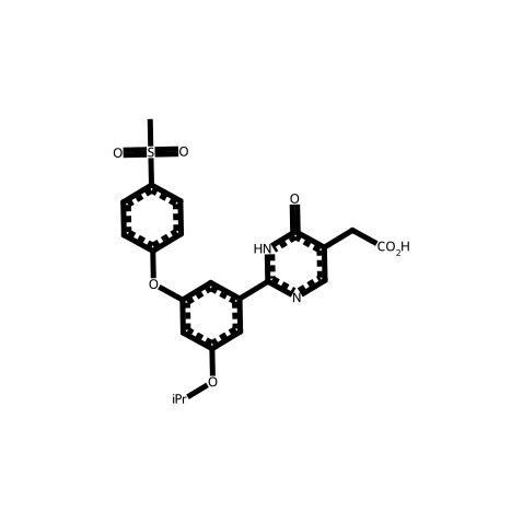 CC(C)Oc1cc(Oc2ccc(S(C)(=O)=O)cc2)cc(-c2ncc(CC(=O)O)c(=O)[nH]2)c1